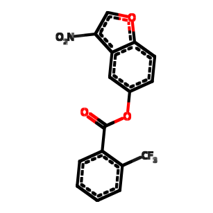 O=C(Oc1ccc2occ([N+](=O)[O-])c2c1)c1ccccc1C(F)(F)F